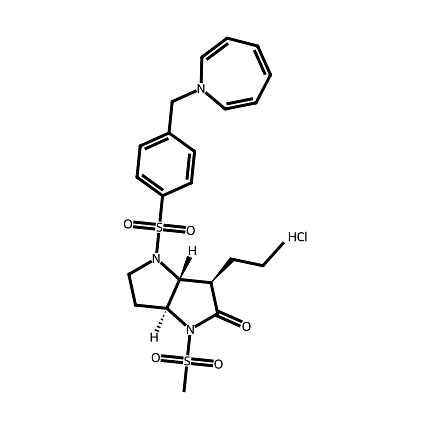 CCC[C@H]1C(=O)N(S(C)(=O)=O)[C@H]2CCN(S(=O)(=O)c3ccc(CN4C=CC=CC=C4)cc3)[C@H]12.Cl